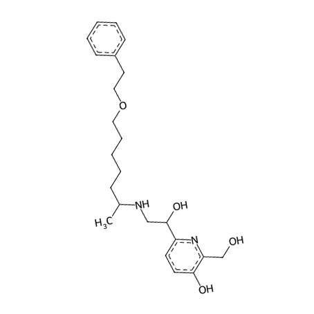 CC(CCCCCOCCc1ccccc1)NCC(O)c1ccc(O)c(CO)n1